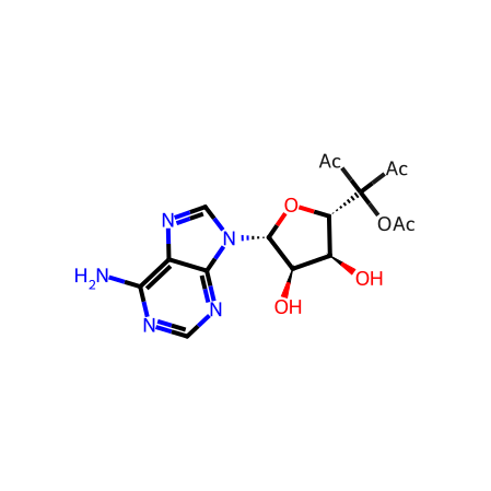 CC(=O)OC(C(C)=O)(C(C)=O)[C@H]1O[C@@H](n2cnc3c(N)ncnc32)[C@H](O)[C@@H]1O